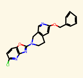 Clc1ccc2oc(N3CCc4cc(OCc5ccccc5)ncc4C3)nc2n1